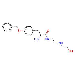 NC(Cc1ccc(OCc2ccccc2)cc1)C(=O)NCCNCCO